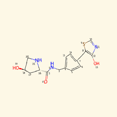 O=C(NCc1ccc(-c2scnc2O)cc1)[C@@H]1C[C@@H](O)CN1